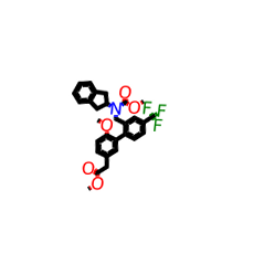 COC(=O)Cc1ccc(OC)c(-c2ccc(C(F)(F)F)cc2CN(C(=O)OC)C2Cc3ccccc3C2)c1